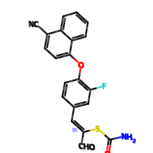 N#Cc1ccc(Oc2ccc(/C=C(/C=O)SC(N)=O)cc2F)c2ccccc12